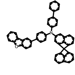 c1ccc(-c2ccc(N(c3ccc(-c4ccc5oc6ccccc6c5c4)cc3)c3cc4c5c(cccc5c3)C43c4cccc5cccc3c45)cc2)cc1